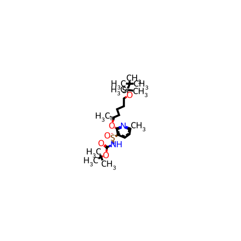 Cc1ccc([S+]([O-])NC(=O)OC(C)(C)C)c(O[C@H](C)CCCCO[Si](C)(C)C(C)(C)C)n1